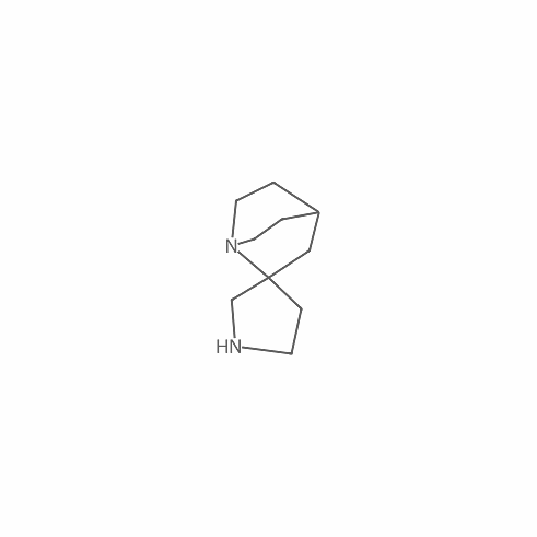 C1CC2(CN1)CC1CCN2CC1